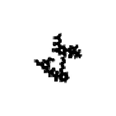 CC(C)OC(=O)c1cc(-c2nn(C)c(C(F)(F)F)c2Br)c(F)cc1Cl.COCCOc1ccccc1S(=O)(=O)NC(=O)Nc1nc(OC)nc(OC)n1